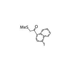 CSCC(=O)c1ccc(I)c2ccccc12